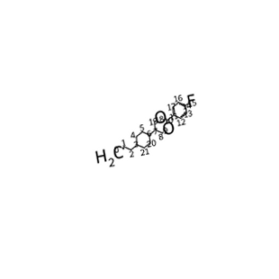 C=CCC1CCC(C2COC(c3ccc(F)cc3)OC2)CC1